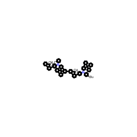 Cc1ccccc1N(c1ccc(-c2cccc3c2C(C)(C)c2ccccc2-3)cc1)c1ccc2c(c1)C1(c3ccccc3-c3ccccc31)c1ccc(-c3ccc4c(c3)-c3cccc(-c5ccc(N(c6ccc(C(C)(C)C)cc6)c6ccc7c(c6)C(c6ccccc6)(c6ccccc6)c6ccccc6-7)cc5)c3C4(C)C)cc1-2